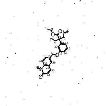 C=CCC(CC)(C(=O)OCC)c1cccc(OCc2ccc3c(ccc(=O)n3C)c2)c1